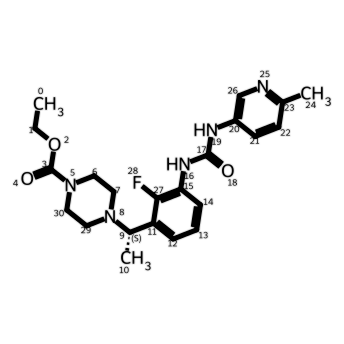 CCOC(=O)N1CCN([C@@H](C)c2cccc(NC(=O)Nc3ccc(C)nc3)c2F)CC1